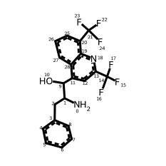 NC(Cc1ccccc1)C(O)c1cc(C(F)(F)F)nc2c(C(F)(F)F)cccc12